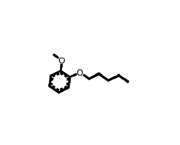 CCCCCOc1ccccc1OC